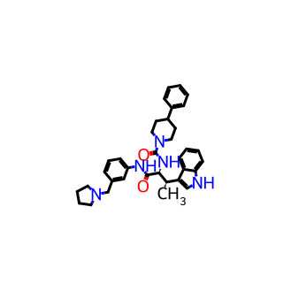 C[C@@H](c1c[nH]c2ccccc12)[C@@H](NC(=O)N1CCC(c2ccccc2)CC1)C(=O)Nc1cccc(CN2CCCC2)c1